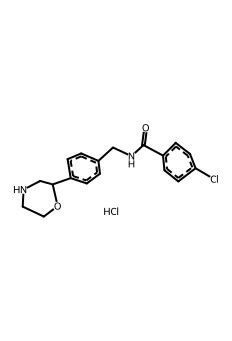 Cl.O=C(NCc1ccc(C2CNCCO2)cc1)c1ccc(Cl)cc1